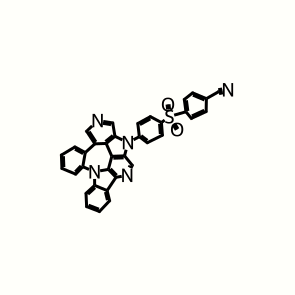 N#Cc1ccc(S(=O)(=O)c2ccc(-n3c4cncc5c6ccccc6n6c7ccccc7c7ncc3c(c54)c76)cc2)cc1